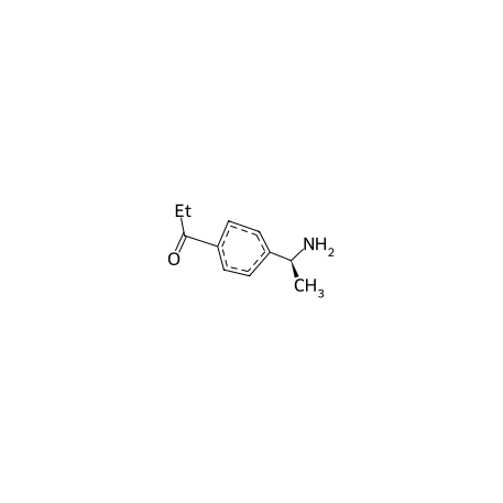 CCC(=O)c1ccc([C@H](C)N)cc1